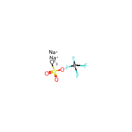 F[B-](F)(F)F.O=S(=O)([O-])C(F)(F)F.[Na+].[Na+]